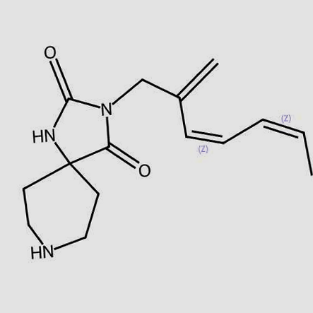 C=C(/C=C\C=C/C)CN1C(=O)NC2(CCNCC2)C1=O